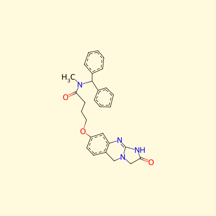 CN(C(=O)CCCOc1ccc2c(c1)N=C1NC(=O)CN1C2)C(c1ccccc1)c1ccccc1